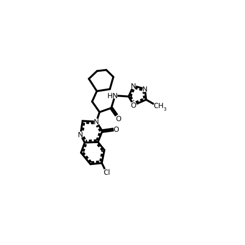 Cc1nnc(NC(=O)C(CC2CCCCC2)n2cnc3ccc(Cl)cc3c2=O)o1